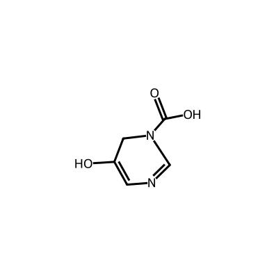 O=C(O)N1C=NC=C(O)C1